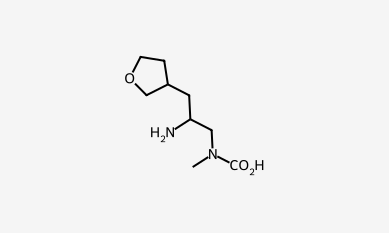 CN(CC(N)CC1CCOC1)C(=O)O